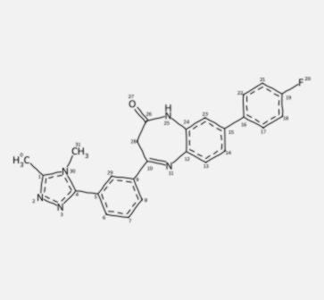 Cc1nnc(-c2cccc(C3=Nc4ccc(-c5ccc(F)cc5)cc4NC(=O)C3)c2)n1C